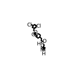 O=C(CCC1CCN(C(=O)OCc2cc(Cl)cc(Cl)c2)CC1)NCc1c[nH]nn1